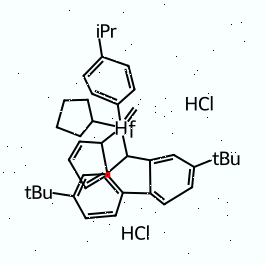 Cl.Cl.[CH2]=[Hf]([c]1ccc(C(C)C)cc1)([CH]1C=CC=C1)([CH]1CCCC1)[CH]1c2cc(C(C)(C)C)ccc2-c2ccc(C(C)(C)C)cc21